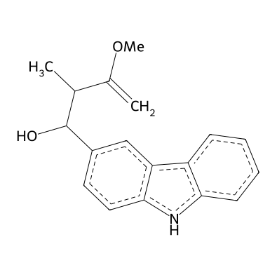 C=C(OC)C(C)C(O)c1ccc2[nH]c3ccccc3c2c1